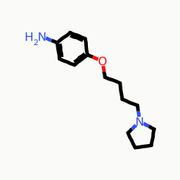 Nc1ccc(OCCCCN2CCCC2)cc1